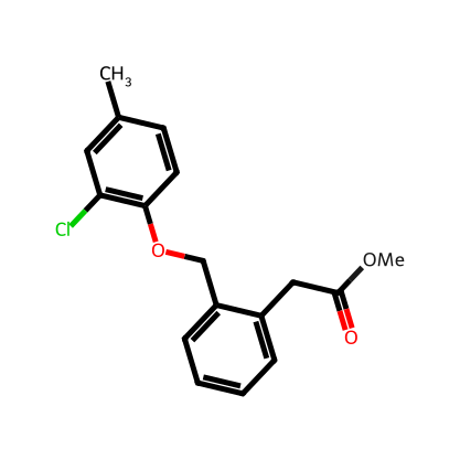 COC(=O)Cc1ccccc1COc1ccc(C)cc1Cl